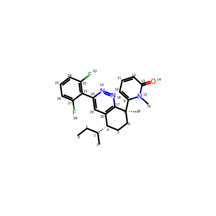 CCC(C)[C@H]1CC[C@](C)(c2cccc(=O)n2C)c2nnc(-c3c(F)cccc3F)cc21